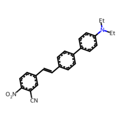 CCN(CC)c1ccc(-c2ccc(/C=C/c3ccc([N+](=O)[O-])c(C#N)c3)cc2)cc1